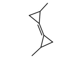 CC1CC1=C1CC1C